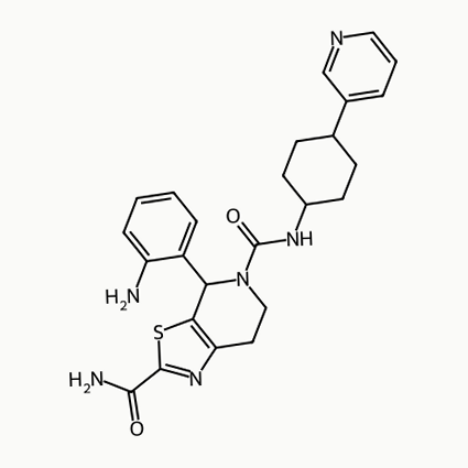 NC(=O)c1nc2c(s1)C(c1ccccc1N)N(C(=O)NC1CCC(c3cccnc3)CC1)CC2